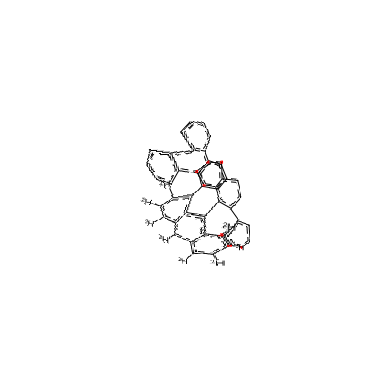 [2H]c1c([2H])c([2H])c2c(-c3c(-c4ccccc4)ccc4ccccc34)c3c(-c4cccc5c6ccccc6c6ccccc6c45)c([2H])c([2H])c([2H])c3c([2H])c2c1[2H]